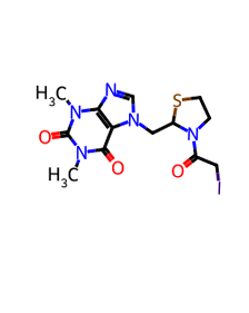 Cn1c(=O)c2c(ncn2CC2SCCN2C(=O)CI)n(C)c1=O